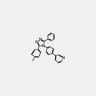 Cc1ccc(-c2nnc(-c3ccccc3)n2-c2ccc(-c3cccnc3)cc2)cc1